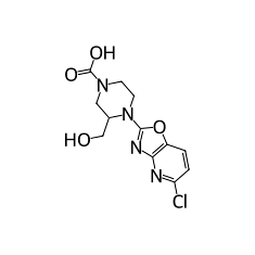 O=C(O)N1CCN(c2nc3nc(Cl)ccc3o2)C(CO)C1